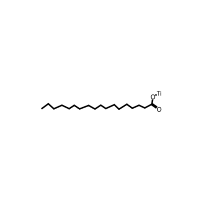 CCCCCCCCCCCCCCCCCC(=O)[O][Ti]